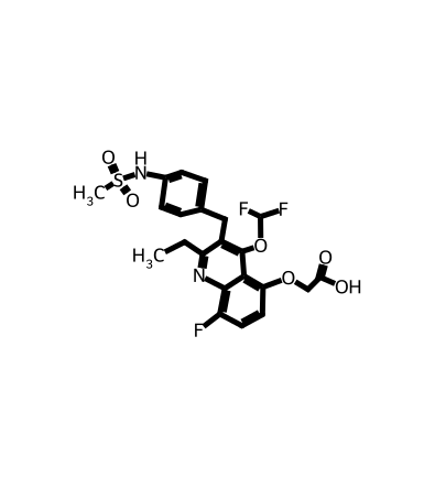 CCc1nc2c(F)ccc(OCC(=O)O)c2c(OC(F)F)c1Cc1ccc(NS(C)(=O)=O)cc1